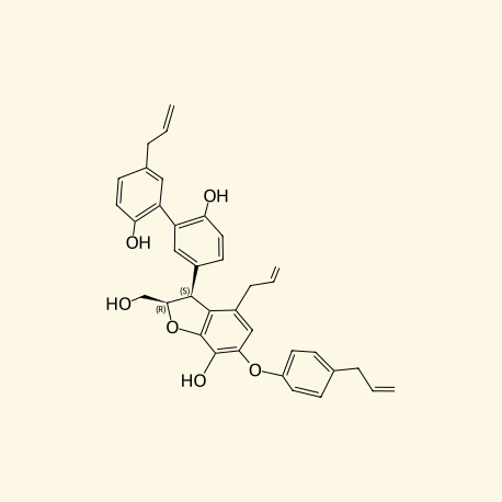 C=CCc1ccc(Oc2cc(CC=C)c3c(c2O)O[C@@H](CO)[C@H]3c2ccc(O)c(-c3cc(CC=C)ccc3O)c2)cc1